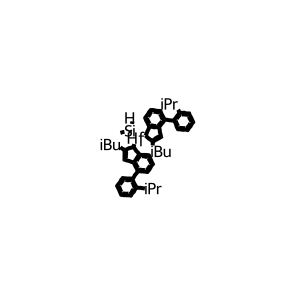 CCC(C)C1=Cc2c(-c3ccccc3C(C)C)cccc2[CH]1[Hf]([CH]1C(C(C)CC)=Cc2c(-c3ccccc3C(C)C)cccc21)[SiH](C)C